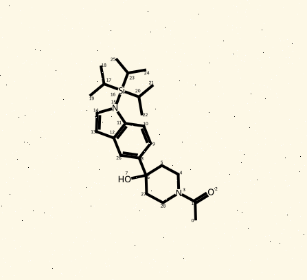 CC(=O)N1CCC(O)(c2ccc3c(ccn3[Si](C(C)C)(C(C)C)C(C)C)c2)CC1